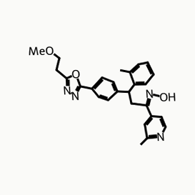 COCCc1nnc(-c2ccc(C(C/C(=N/O)c3ccnc(C)c3)c3ccccc3C)cc2)o1